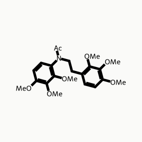 COc1ccc(CCN(C(C)=O)c2ccc(OC)c(OC)c2OC)c(OC)c1OC